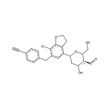 C#Cc1ccc(Cc2cc(C3CC(O)[C@H](N=O)C(CO)O3)c3c(c2Cl)OCC3)cc1